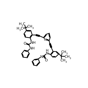 CC(C)(C)c1ccc(NC(=O)Nc2ccccc2)c(C#Cc2cccc(C#Cc3cc(C(C)(C)C)ccc3NC(=O)Nc3ccccc3)n2)c1